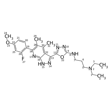 CCN(CC)CCCNc1nnc(-c2n[nH]c3nc(-c4ccc(OC)cc4F)c(C)c(C)c23)o1